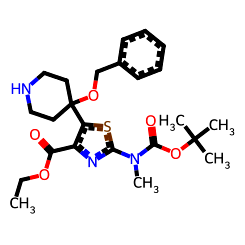 CCOC(=O)c1nc(N(C)C(=O)OC(C)(C)C)sc1C1(OCc2ccccc2)CCNCC1